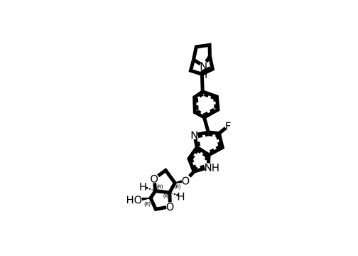 O[C@@H]1CO[C@H]2[C@@H]1OC[C@H]2Oc1cc2nc(-c3ccc(C4=CC5CCC(C4)N5)cc3)c(F)cc2[nH]1